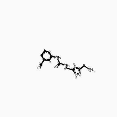 N#Cc1cccc(NC(=O)NCc2nc(CN)no2)c1